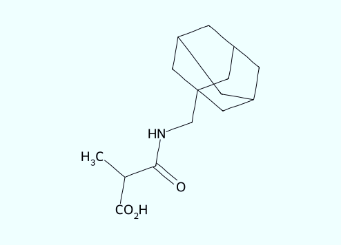 CC(C(=O)O)C(=O)NCC12CC3CC(CC(C3)C1)C2